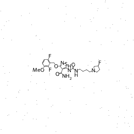 COc1ccc(F)c(COc2nsc(NC(=O)NCCCCN3CC[C@H](F)C3)c2C(N)=O)c1F